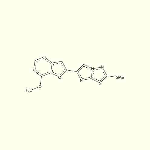 CSc1nn2cc(-c3cc4cccc(OC(F)(F)F)c4o3)nc2s1